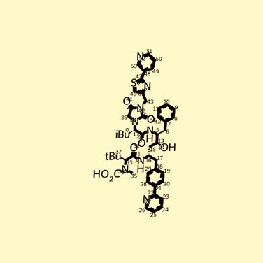 CCC(C)[C@@H](C(=O)N[C@@H](Cc1ccccc1)[C@@H](O)C[C@H](Cc1ccc(-c2ccccn2)cc1)NC(=O)[C@@H](N(C)C(=O)O)C(C)(C)C)N1CC(=O)N(Cc2csc(-c3cccnc3)n2)C1=O